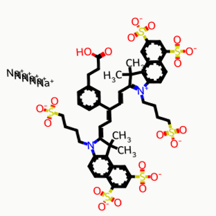 CC1(C)C(/C=C/C(=C/C=C2/N(CCCCS(=O)(=O)[O-])c3ccc4c(S(=O)(=O)[O-])cc(S(=O)(=O)[O-])cc4c3C2(C)C)c2cccc(CCC(=O)O)c2)=[N+](CCCCS(=O)(=O)[O-])c2ccc3c(S(=O)(=O)[O-])cc(S(=O)(=O)[O-])cc3c21.[Na+].[Na+].[Na+].[Na+].[Na+]